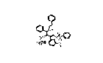 COc1cccc2c(C(=O)C(NCCc3ccccc3)c3ccccc3)cn(S(=O)(=O)c3ccccc3)c12.N[SH](=O)=O